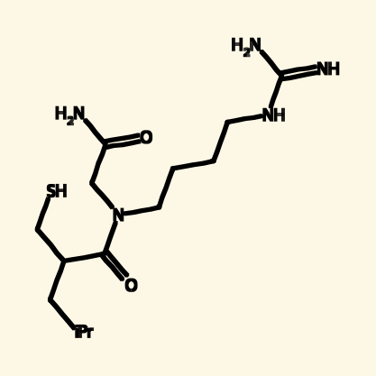 CC(C)CC(CS)C(=O)N(CCCCNC(=N)N)CC(N)=O